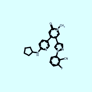 Cn1cc(-c2cnn(-c3cccc(F)c3C#N)c2)c(-c2ccc(NC3CCCC3)nc2)cc1=O